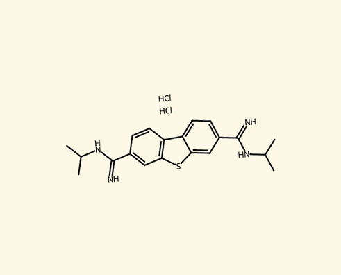 CC(C)NC(=N)c1ccc2c(c1)sc1cc(C(=N)NC(C)C)ccc12.Cl.Cl